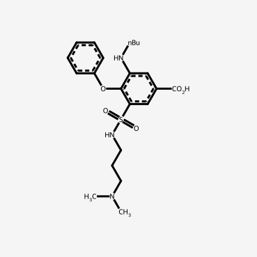 CCCCNc1cc(C(=O)O)cc(S(=O)(=O)NCCCN(C)C)c1Oc1ccccc1